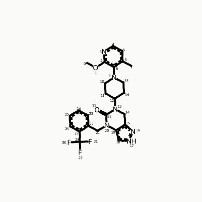 COc1nccc(C)c1N1CCC(N2Cc3n[nH]cc3N(Cc3ccccc3C(F)(F)F)C2=O)CC1